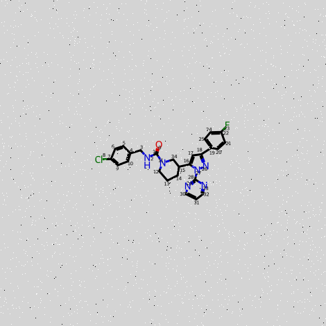 O=C(NCc1ccc(Cl)cc1)N1CCCC(c2cc(-c3ccc(F)cc3)nn2-c2ncccn2)C1